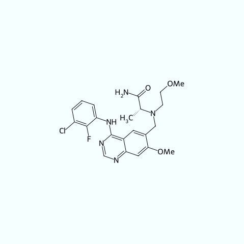 COCCN(Cc1cc2c(Nc3cccc(Cl)c3F)ncnc2cc1OC)[C@H](C)C(N)=O